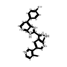 Cc1ccncc1-c1cnc2[nH]nc(-c3nc4c(-c5ccc(F)cc5)ccnc4[nH]3)c2c1